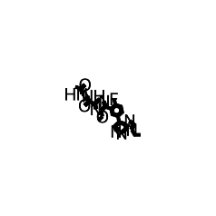 CCn1cnc2c(-c3ccc(F)c(-c4ncc(C(=O)NNC(C)=O)nc4OC)c3)cnnc21